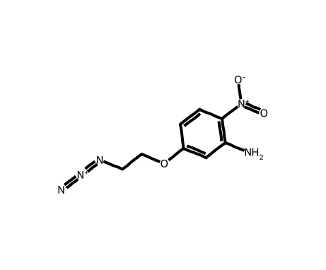 [N-]=[N+]=NCCOc1ccc([N+](=O)[O-])c(N)c1